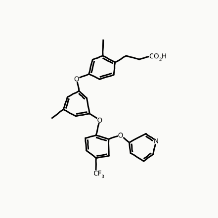 Cc1cc(Oc2ccc(CCC(=O)O)c(C)c2)cc(Oc2ccc(C(F)(F)F)cc2Oc2cccnc2)c1